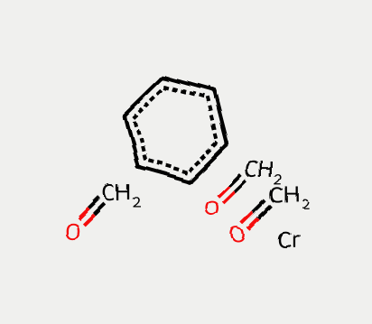 C=O.C=O.C=O.[Cr].c1ccccc1